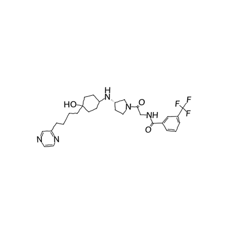 O=C(NCC(=O)N1CC[C@H](NC2CCC(O)(CCCCc3cnccn3)CC2)C1)c1cccc(C(F)(F)F)c1